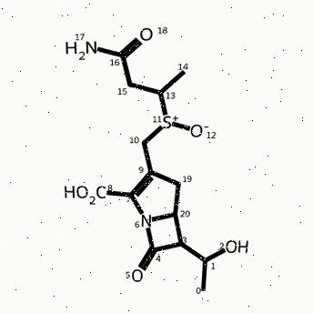 CC(O)C1C(=O)N2C(C(=O)O)=C(C[S+]([O-])C(C)CC(N)=O)CC12